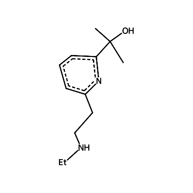 CCNCCc1cccc(C(C)(C)O)n1